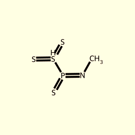 CN=P(=S)[SH](=S)=S